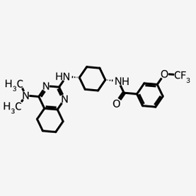 CN(C)c1nc(N[C@H]2CC[C@@H](NC(=O)c3cccc(OC(F)(F)F)c3)CC2)nc2c1CCCC2